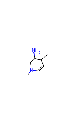 CC1C=CN(C)C[C@H]1N